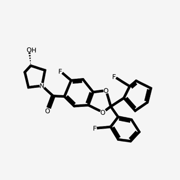 O=C(c1cc2c(cc1F)OC(c1ccccc1F)(c1ccccc1F)O2)N1CC[C@H](O)C1